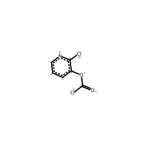 O=C(Cl)Oc1cccnc1Cl